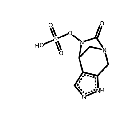 O=C1N2Cc3[nH]ncc3C(C2)N1OS(=O)(=O)O